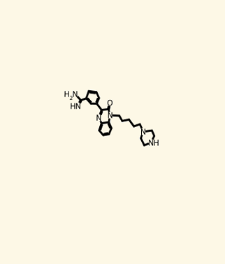 N=C(N)c1cccc(-c2nc3ccccc3n(CCCCCN3CCNCC3)c2=O)c1